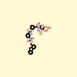 CO[C@H]1O[C@H](CO)[C@@H](O)[C@H](O)[C@@H]1NC(=O)c1cccc(NC(=O)c2cccc(NC(=O)OCc3cccc4c3Cc3ccccc3-4)c2)c1